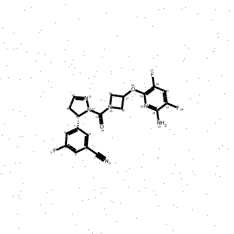 N#Cc1cc(F)cc([C@@H]2CC=NN2C(=O)N2CC(Oc3nc(N)c(F)cc3F)C2)c1